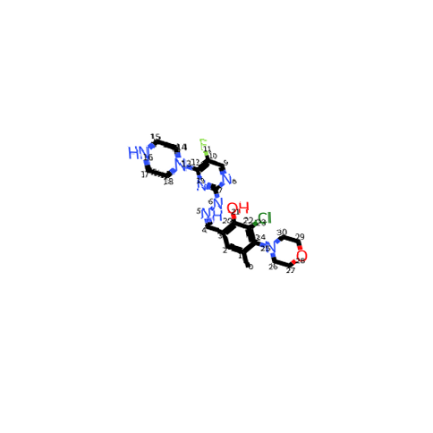 Cc1cc(/C=N\Nc2ncc(F)c(N3CCNCC3)n2)c(O)c(Cl)c1N1CCOCC1